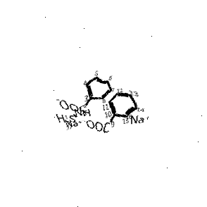 N=[SH2].O=C([O-])c1ccccc1.O=C([O-])c1ccccc1.[Na+].[Na+]